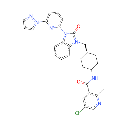 Cc1ncc(Cl)cc1C(=O)N[C@H]1CC[C@H](Cn2c(=O)n(-c3cccc(-n4cccn4)n3)c3ccccc32)CC1